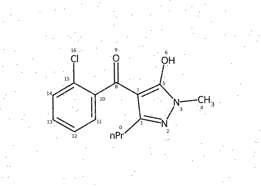 CCCc1nn(C)c(O)c1C(=O)c1ccccc1Cl